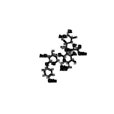 CC[C@@H](OC(C)=O)[C@@H](C)[C@@H]1O[C@@](O[C@@H]2C(OC(C)=O)[C@H](O[C@H]3C(C)C(OC(C)=O)[C@H](Oc4ccc(OC)cc4)O[C@H]3COC(C)=O)OC(COC(C)=O)[C@@H]2C)(C(=O)OC)CC(C)[C@H]1C